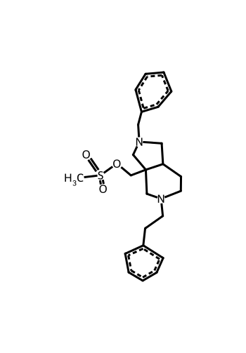 CS(=O)(=O)OCC12CN(CCc3ccccc3)CCC1CN(Cc1ccccc1)C2